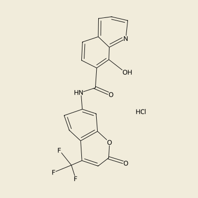 Cl.O=C(Nc1ccc2c(C(F)(F)F)cc(=O)oc2c1)c1ccc2cccnc2c1O